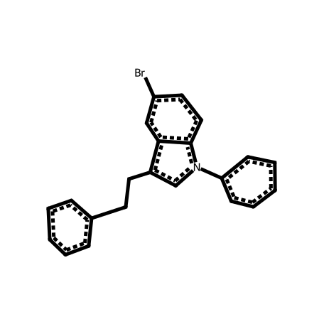 Brc1ccc2c(c1)c(CCc1ccccc1)cn2-c1ccccc1